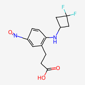 O=Nc1ccc(NC2CC(F)(F)C2)c(CCC(=O)O)c1